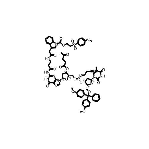 COc1ccc(C(OC[C@H]2O[C@@H](n3cc(C)c(=O)[nH]c3=O)C[C@H]2OP(OCCC#N)OC[C@H]2O[C@@H](n3cnc4c(=O)[nH]c(NC(=O)CCNC(=O)Cc5cn(C(=O)OCCS(=O)(=O)c6ccc(OC)cc6)c6ccccc56)nc43)C[C@@H]2OC(=O)CCC(C)=O)(c2ccccc2)c2ccc(OC)cc2)cc1